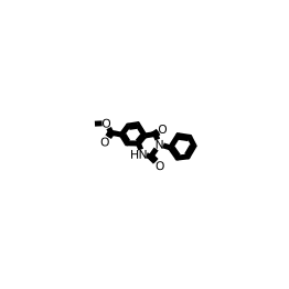 COC(=O)c1ccc2c(=O)n(-c3ccccc3)c(=O)[nH]c2c1